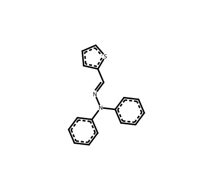 C(=NN(c1ccccc1)c1ccccc1)c1cccs1